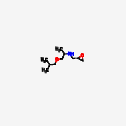 CC(C)COCC(C)NCC1CO1